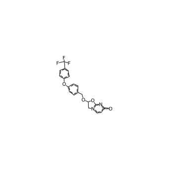 O=c1ccn2c(n1)OC(OCc1ccc(Oc3ccc(C(F)(F)F)cc3)cc1)C2